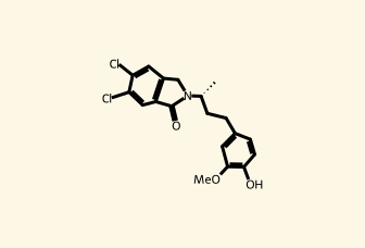 COc1cc(CC[C@@H](C)N2Cc3cc(Cl)c(Cl)cc3C2=O)ccc1O